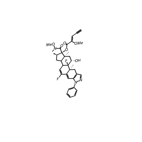 C#C/C=C(\OC)C(=O)O[C@]1(C(=O)N(C)OC)[C@H](C)CC2C3C=C(F)C4=Cc5c(cnn5-c5ccccc5)C[C@]4(C)[C@@]3(F)[C@@H](O)C[C@@]21C